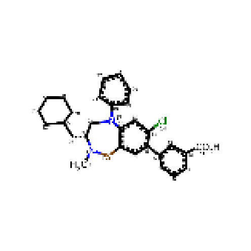 CN1Sc2cc(-c3cccc(C(=O)O)c3)c(Cl)cc2N(c2ccccc2)C[C@H]1CC1CCCCC1